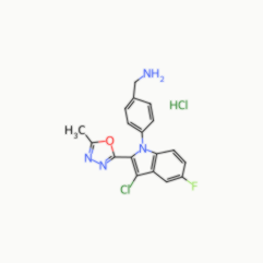 Cc1nnc(-c2c(Cl)c3cc(F)ccc3n2-c2ccc(CN)cc2)o1.Cl